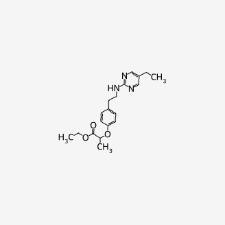 CCOC(=O)C(C)Oc1ccc(CCNc2ncc(CC)cn2)cc1